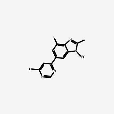 Cc1nc2c(F)cc(-c3cc(Cl)ncn3)cc2n1C(C)C